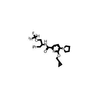 [2H]C([2H])(F)OCC(CC(C)C)NC(=O)c1ccc(N2CCCC2)c(OCC2CC2)n1